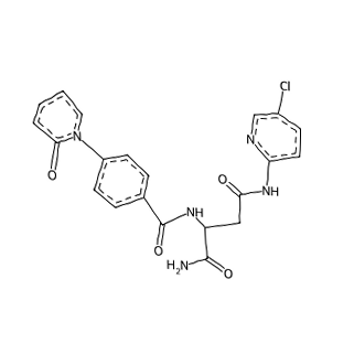 NC(=O)C(CC(=O)Nc1ccc(Cl)cn1)NC(=O)c1ccc(-n2ccccc2=O)cc1